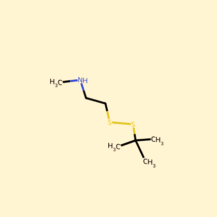 CNCCSSC(C)(C)C